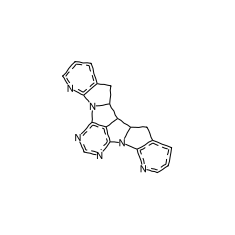 c1cnc2c(c1)CC1C3c4c(ncnc4N4c5ncccc5CC34)N21